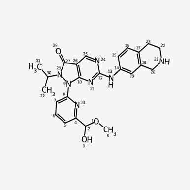 COC(O)c1cccc(-n2c3nc(Nc4ccc5c(c4)CNCC5)ncc3c(=O)n2C(C)C)n1